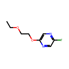 CCOCCOc1cnc(F)cn1